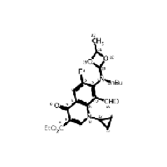 CCCCN(c1c(F)cc2c(=O)c(C(=O)OCC)cn(C3CC3)c2c1C=O)C1OC(C)O1